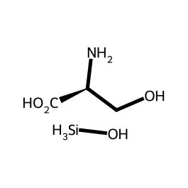 N[C@@H](CO)C(=O)O.O[SiH3]